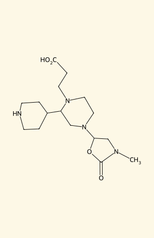 CN1CC(N2CCN(CCC(=O)O)C(C3CCNCC3)C2)OC1=O